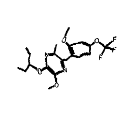 CCC(CC)Oc1nc(C)c(-c2ccc(OC(F)(F)F)cc2OC)nc1OC